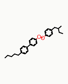 CCCCCc1ccc(-c2ccc(OOc3ccc(CC(C)CC)cc3)cc2)cc1